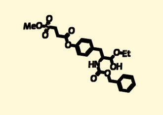 CCOC(O)C(Cc1ccc(OC(=O)CCS(=O)(=O)OC)cc1)NC(=O)OCc1ccccc1